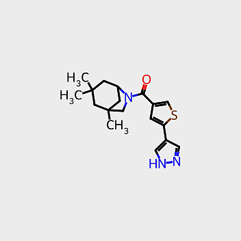 CC1(C)CC2CC(C)(CN2C(=O)c2csc(-c3cn[nH]c3)c2)C1